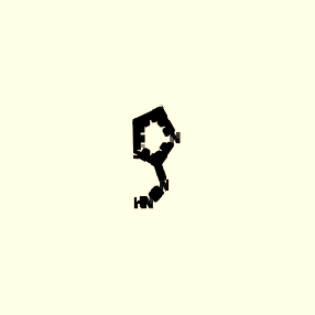 N=Nc1nccs1